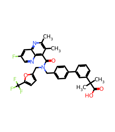 Cc1nc2cc(F)cnc2c(C(=O)N(Cc2ccc(-c3cccc(C(C)(C)C(=O)O)c3)cc2)Cc2ccc(C(F)(F)F)o2)c1C